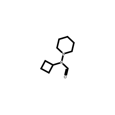 O=CN(C1CCC1)N1CCCCC1